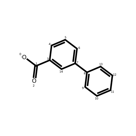 [O]C(=O)c1cccc(-c2ccccc2)c1